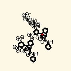 O=C(Nc1ccccc1)C1=C([O-])C2(c3cc([N+](=O)[O-])cc([N+](=O)[O-])c3O)N=NC1c1ccccc12.O=C(Nc1ccccc1)C1=C([O-])C2(c3cc([N+](=O)[O-])cc([N+](=O)[O-])c3O)N=NC1c1ccccc12.[NH4+].[NH4+].[NH4+].[NH4+].[O]=[Cr](=[O])([O-])[O-]